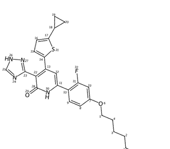 CCCCCCOc1ccc(-c2cc(-c3ccc(C4CC4)s3)c(-c3nc[nH]n3)c(=O)[nH]2)c(F)c1